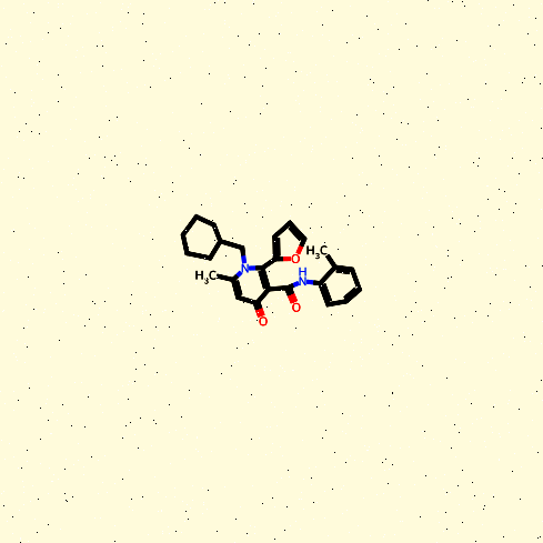 Cc1ccccc1NC(=O)c1c(-c2ccco2)n(CC2CCCCC2)c(C)cc1=O